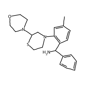 Cc1ccc(C(N)c2ccccc2)c(N2CCSC(N3CCOCC3)C2)c1